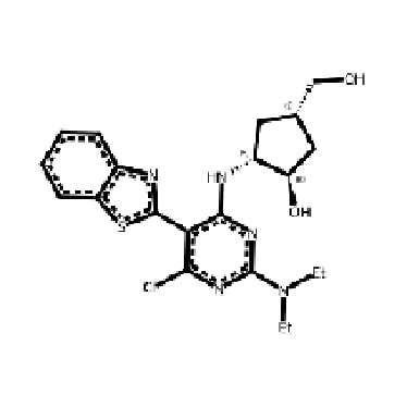 CCN(CC)c1nc(Cl)c(-c2nc3ccccc3s2)c(N[C@@H]2C[C@H](CO)C[C@H]2O)n1